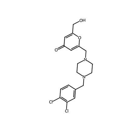 O=c1cc(CO)oc(CN2CCN(Cc3ccc(Cl)c(Cl)c3)CC2)c1